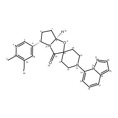 Cc1ncc([C@@H]2CC[C@H]3OC4(CCN(c5cccc6ccnn56)CC4)C(=O)N32)cc1F